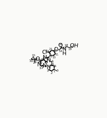 Cc1ccnc(Cn2c(-c3ccc(OCC(=O)NCCO)cc3Cl)nc3c(OC4(C)CC4)ncnc32)c1